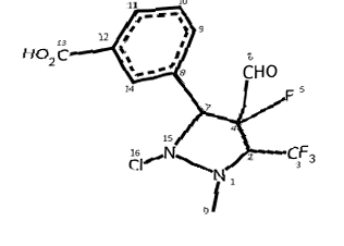 CN1C(C(F)(F)F)C(F)(C=O)C(c2cccc(C(=O)O)c2)N1Cl